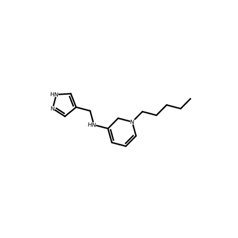 CCCCCN1C=CC=C(NCc2cn[nH]c2)C1